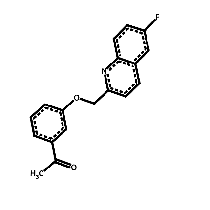 CC(=O)c1cccc(OCc2ccc3cc(F)ccc3n2)c1